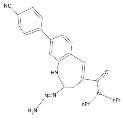 CCCN(CCC)C(=O)C1=Cc2ccc(-c3ccc(C#N)cc3)cc2NC(N=NN)C1